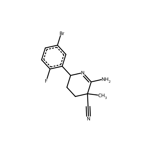 CC1(C#N)CCC(c2cc(Br)ccc2F)N=C1N